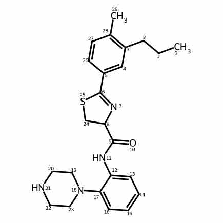 CCCc1cc(C2=NC(C(=O)Nc3ccccc3N3CCNCC3)CS2)ccc1C